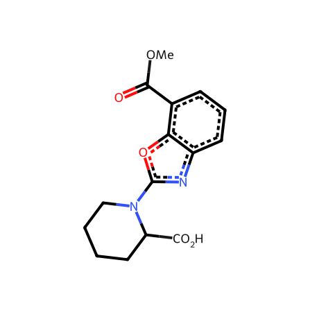 COC(=O)c1cccc2nc(N3CCCCC3C(=O)O)oc12